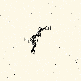 C#CCCC(=O)CCn1cc(-c2ccc(C)c(S(=O)(=O)N3CCN(CCc4ccncc4)CC3)c2)cn1